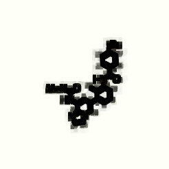 CNC(=O)Nc1cc(-c2cccc(NC(=O)c3ccc(C(C)(C)C)cc3)c2C)cn2ccnc12